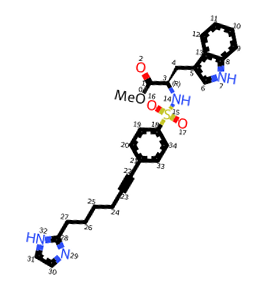 COC(=O)[C@@H](Cc1c[nH]c2ccccc12)NS(=O)(=O)c1ccc(C#CCCCCc2ncc[nH]2)cc1